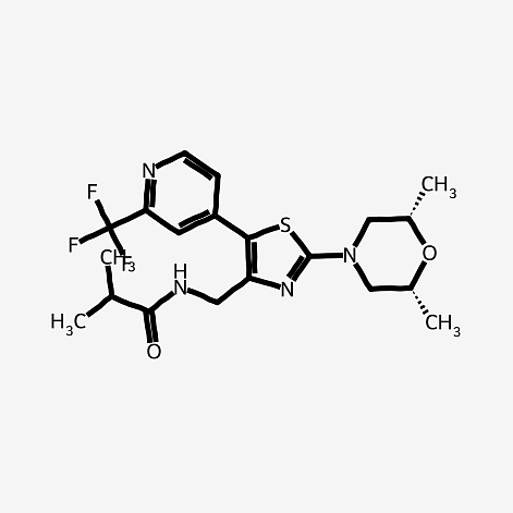 CC(C)C(=O)NCc1nc(N2C[C@@H](C)O[C@@H](C)C2)sc1-c1ccnc(C(F)(F)F)c1